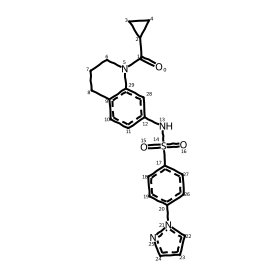 O=C(C1CC1)N1CCCc2ccc(NS(=O)(=O)c3ccc(-n4cccn4)cc3)cc21